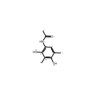 CC(=O)Nc1cc(F)c(O)c(C)c1O